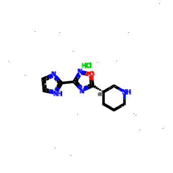 Cl.c1c[nH]c(-c2noc([C@H]3CCCNC3)n2)n1